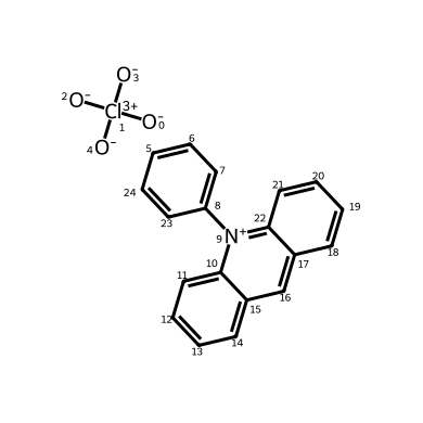 [O-][Cl+3]([O-])([O-])[O-].c1ccc(-[n+]2c3ccccc3cc3ccccc32)cc1